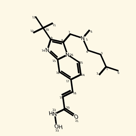 CC(C)CCN(C)Cc1c(C(C)(C)C)nc2cc(C=CC(=O)NO)ccn12